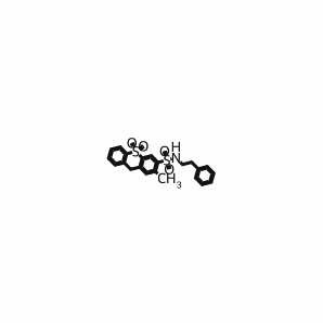 Cc1cc2c(cc1S(=O)(=O)NCCc1ccccc1)S(=O)(=O)c1ccccc1C2